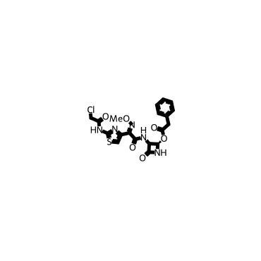 CON=C(C(=O)NC1C(=O)N[C@@H]1OC(=O)Cc1ccccc1)c1csc(NC(=O)CCl)n1